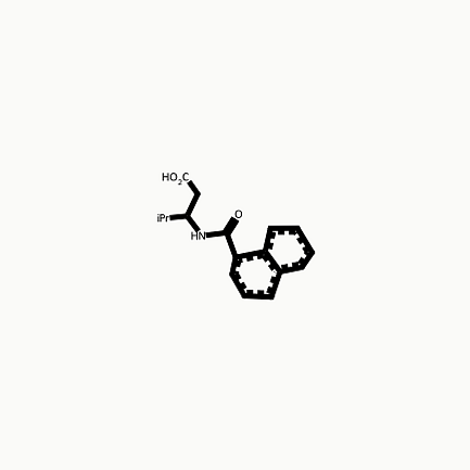 CC(C)C(CC(=O)O)NC(=O)c1cccc2ccccc12